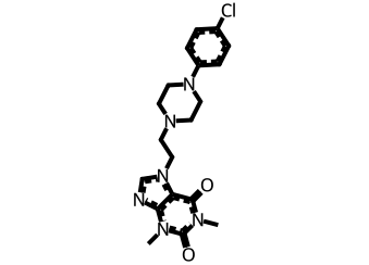 Cn1c(=O)c2c(ncn2CCN2CCN(c3ccc(Cl)cc3)CC2)n(C)c1=O